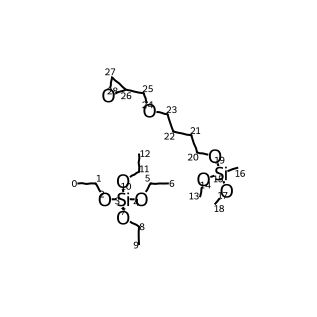 CCO[Si](OCC)(OCC)OCC.CO[Si](C)(OC)OCCCCOCC1CO1